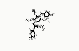 C[C@@H]1CN(CC(N)c2ccc(Cl)cc2)[C@@H](C)C(=C=O)N1Cc1ccc(F)cc1